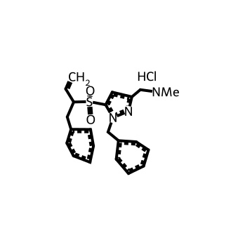 C=CC(Cc1ccccc1)S(=O)(=O)c1cc(CNC)nn1Cc1ccccc1.Cl